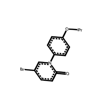 CC(C)Oc1ccc(-n2cc(Br)ccc2=O)cc1